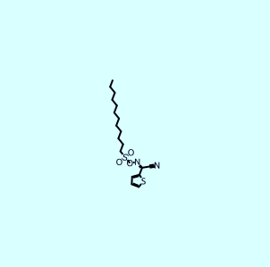 CCCCCCCCCCCCS(=O)(=O)O/N=C(/C#N)c1cccs1